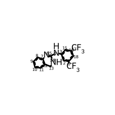 FC(F)(F)c1cc(NC2=Nc3ccccc3CN2)cc(C(F)(F)F)c1